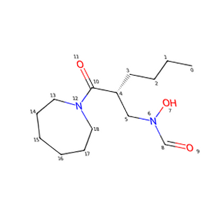 CCCC[C@H](CN(O)C=O)C(=O)N1CCCCCC1